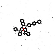 CC1(C)c2ccccc2-c2cc(N(c3ccc(-c4ccc(C5CCCCC5)cc4)cc3)c3cc4ccccc4cc3-c3ccc4c5ccccc5n(-c5ccccc5)c4c3)ccc21